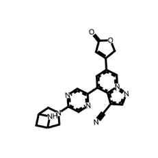 N#Cc1cnn2cc(C3=CC(=O)OC3)cc(-c3cnc(N4CC5CC(C4)N5)cn3)c12